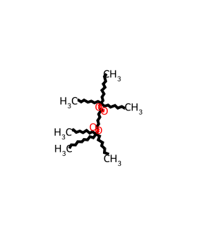 CCCCCCCCCC(CCCCCCCC)(CCCCCCCC)OC(=O)CCCCC(=O)OC(CCCCCCCC)(CCCCCCCC)CCCCCCCCC